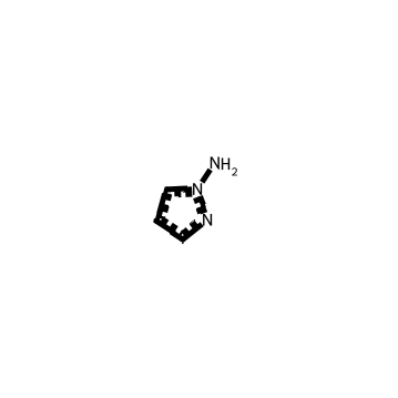 Nn1cc[c]n1